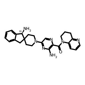 Nc1nc(N2CCC3(CC2)Cc2ccccc2[C@H]3N)cnc1C(=O)N1CCCc2ncccc21